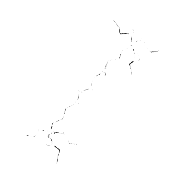 CCO[Si](CCCSSSSSCCC[Si](OCC)(OCC)OCC)(OCC)OCC